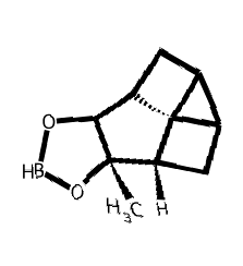 C[C@@]12OBOC1C1CC3C4C[C@H]2[C@@]341